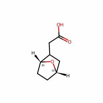 O=C(O)CC1C[C@@H]2CC[C@H]1O2